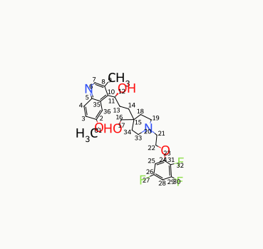 COc1ccc2ncc(C)c([C@@H](O)CCC3(CO)CCN(CCOc4cc(F)cc(F)c4F)CC3)c2c1